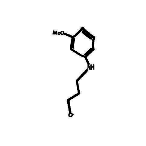 COc1cccc(NCCC[O])c1